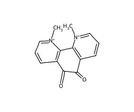 C[n+]1cccc2c1-c1c(ccc[n+]1C)C(=O)C2=O